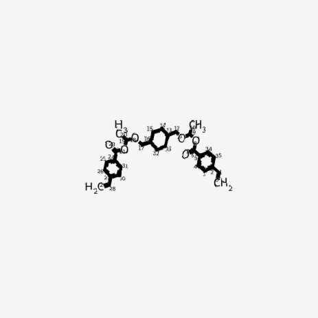 C=Cc1ccc(C(=O)OC(C)OCC2CCC(COC(C)OC(=O)c3ccc(C=C)cc3)CC2)cc1